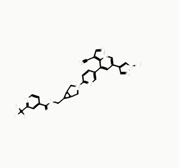 Cn1cc(-c2cc(-c3ccc(N4CC5C(CNC(=O)c6ccnc(C(F)(F)F)c6)C5C4)nc3)c3c(C#N)cnn3c2)cn1